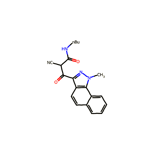 CCCCNC(=O)C(C#N)C(=O)c1nn(C)c2c1ccc1ccccc12